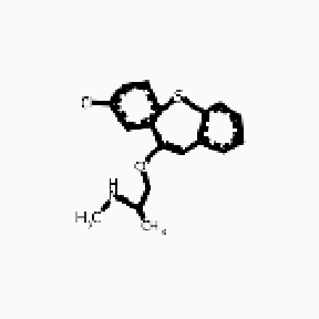 CNC(C)COC1=Cc2ccccc2Sc2ccc(Cl)cc21